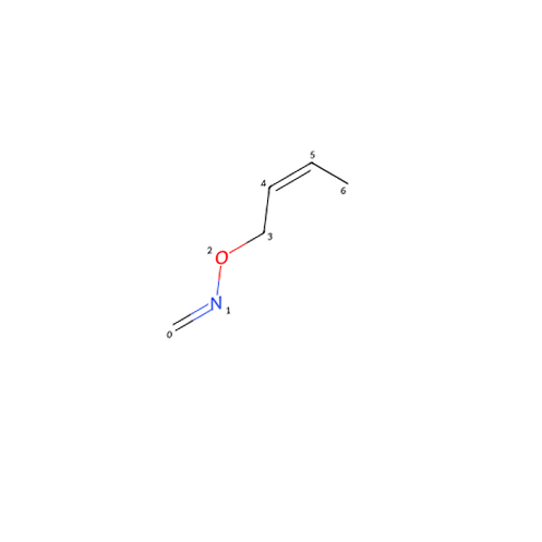 C=NOC/C=C\C